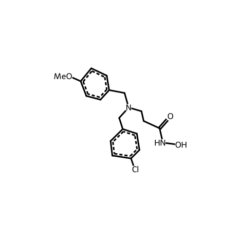 COc1ccc(CN(CCC(=O)NO)Cc2ccc(Cl)cc2)cc1